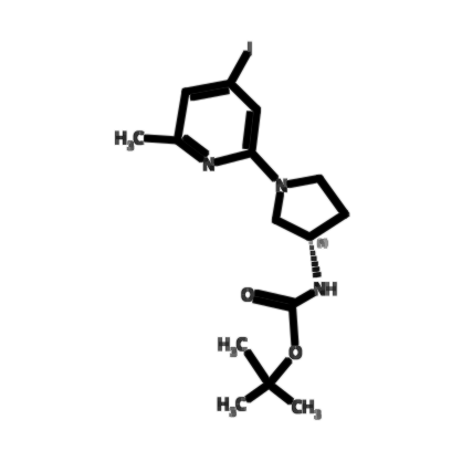 Cc1cc(I)cc(N2CC[C@H](NC(=O)OC(C)(C)C)C2)n1